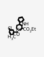 CCOC(=O)C1=CN(C(=O)c2cc(Cl)ccc2C)CCc2c1[nH]c1ccccc21